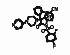 CCOc1ccccc1C1(N2CCN(c3ccncc3)CC2)C(=O)N(S(=O)(=O)c2ccc(F)cc2F)c2ccc(C#N)cc21